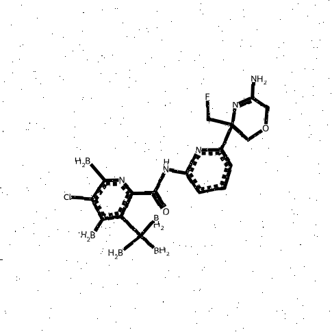 Bc1nc(C(=O)Nc2cccc(C3(CF)COCC(N)=N3)n2)c(C(B)(B)B)c(B)c1Cl